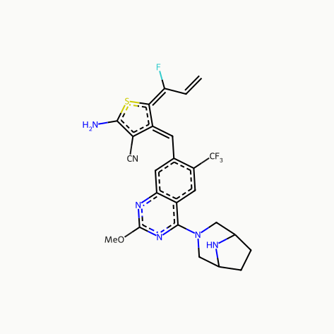 C=C/C(F)=c1/sc(N)c(C#N)/c1=C\c1cc2nc(OC)nc(N3CC4CCC(C3)N4)c2cc1C(F)(F)F